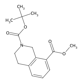 COC(=O)c1cccc2c1CN(C(=O)OC(C)(C)C)CC2